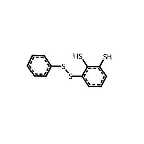 Sc1cccc(SSc2ccccc2)c1S